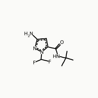 CC(C)(C)NC(=O)c1cc(N)nn1C(F)F